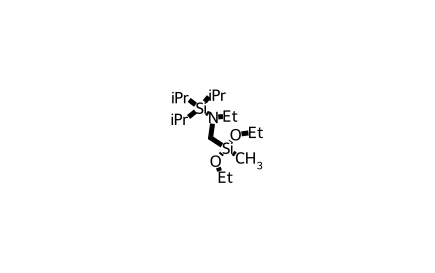 CCO[Si](C)(CN(CC)[Si](C(C)C)(C(C)C)C(C)C)OCC